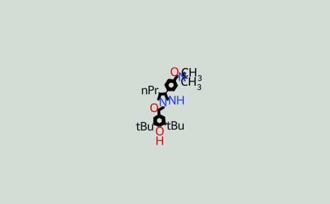 CCC[C@H]1CN(CC(=O)c2cc(C(C)(C)C)c(O)c(C(C)(C)C)c2)C(=N)[C@@H]1c1ccc(C(=O)N(C)C)cc1